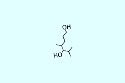 CC(C)C(O)C(C)CCCO